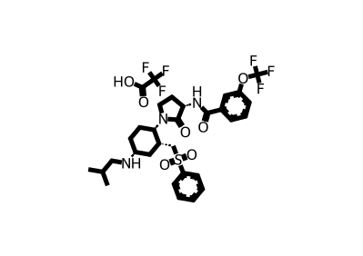 CC(C)CN[C@@H]1CC[C@H](N2CC[C@H](NC(=O)c3cccc(OC(F)(F)F)c3)C2=O)[C@H](CS(=O)(=O)c2ccccc2)C1.O=C(O)C(F)(F)F